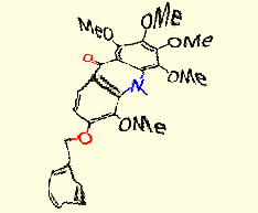 COc1c(OC)c(OC)c2c(c1OC)c(=O)c1ccc(OCc3ccccc3)c(OC)c1n2C